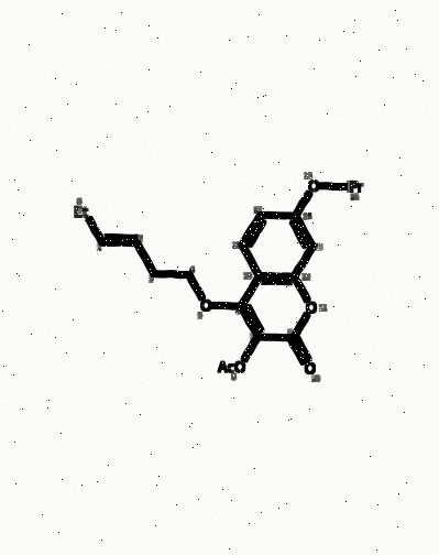 CC/C=C/CCOc1c(OC(C)=O)c(=O)oc2cc(OC(C)C)ccc12